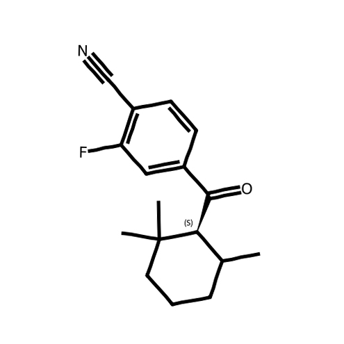 CC1CCCC(C)(C)[C@H]1C(=O)c1ccc(C#N)c(F)c1